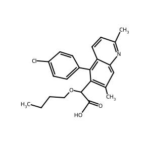 CCCCOC(C(=O)O)c1c(C)cc2nc(C)ccc2c1-c1ccc(Cl)cc1